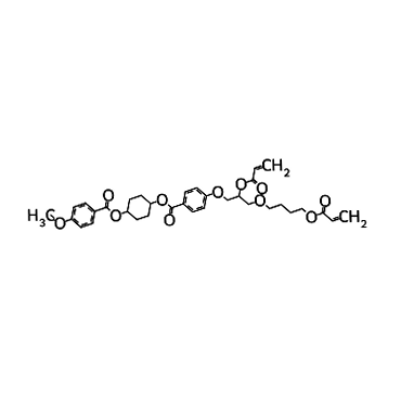 C=CC(=O)OCCCCOCC(COc1ccc(C(=O)OC2CCC(OC(=O)c3ccc(OC)cc3)CC2)cc1)OC(=O)C=C